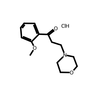 COc1ccccc1C(=O)CCN1CCOCC1.Cl